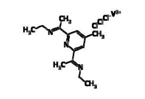 CCN=C(C)c1cc(C)cc(C(C)=NCC)n1.[Cl-].[Cl-].[Cl-].[V+3]